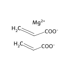 C=CC(=O)[O-].C=CC(=O)[O-].[Mg+2]